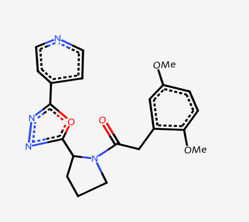 COc1ccc(OC)c(CC(=O)N2CCCC2c2nnc(-c3ccncc3)o2)c1